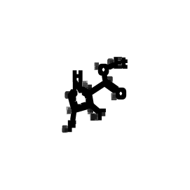 CCOC(=O)c1[nH]cc(F)c1F